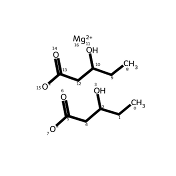 CCC(O)CC(=O)[O-].CCC(O)CC(=O)[O-].[Mg+2]